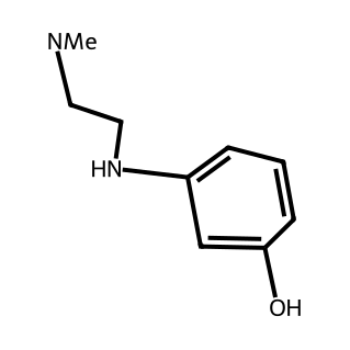 CNCCNc1cccc(O)c1